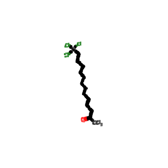 O=C(CCCCCCCCCCC[Si](Cl)(Cl)Cl)C(Cl)(Cl)Cl